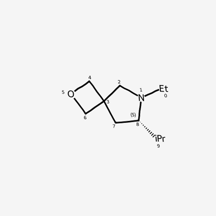 CCN1CC2(COC2)C[C@H]1C(C)C